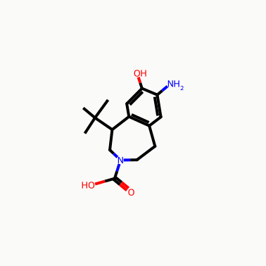 CC(C)(C)C1CN(C(=O)O)CCc2cc(N)c(O)cc21